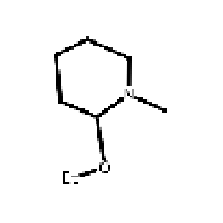 CCOC1CCCCN1C